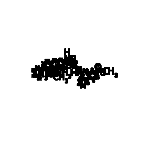 COC(=O)c1ccc2c(c1)nc(NCCCS(=O)(=O)NCCN(Cc1ccc(-c3ccccc3)c(Cl)c1)C(=O)OC(C)(C)C)c1ccncc12